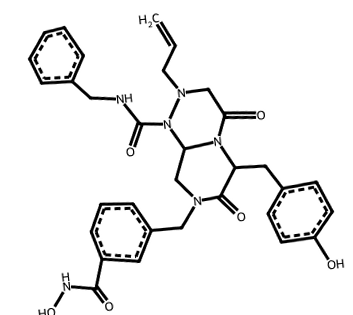 C=CCN1CC(=O)N2C(Cc3ccc(O)cc3)C(=O)N(Cc3cccc(C(=O)NO)c3)CC2N1C(=O)NCc1ccccc1